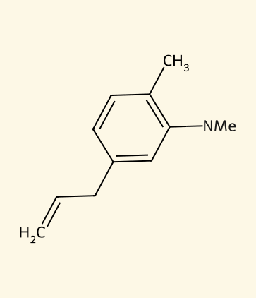 C=CCc1ccc(C)c(NC)c1